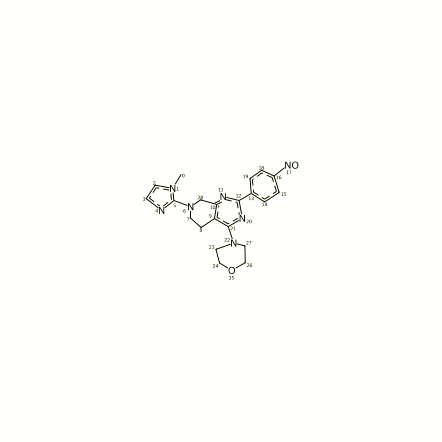 Cn1ccnc1N1CCc2c(nc(-c3ccc(N=O)cc3)nc2N2CCOCC2)C1